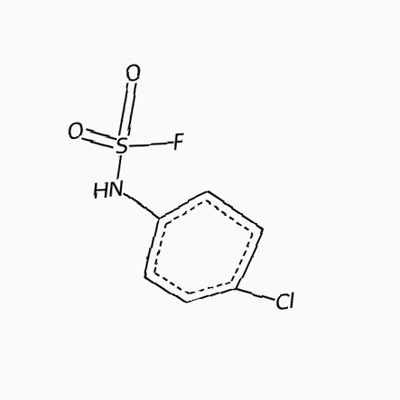 O=S(=O)(F)Nc1ccc(Cl)cc1